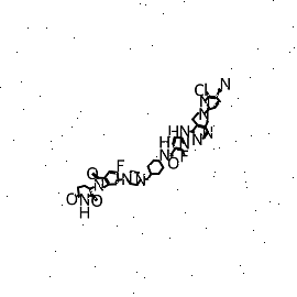 N#Cc1ccc(N2CCc3c(ncnc3Nc3ccc(C(=O)NC4CCC(CN5CCN(c6cc7c(cc6F)C(=O)N(C6CCC(=O)NC6=O)C7)CC5)CC4)c(F)n3)C2)nc1Cl